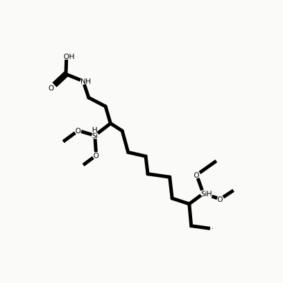 [CH2]CC(CCCCCCC(CCNC(=O)O)[SiH](OC)OC)[SiH](OC)OC